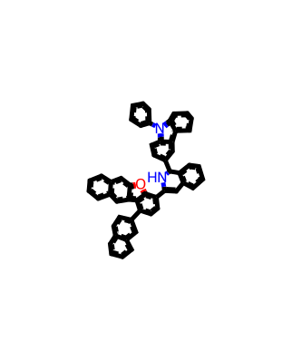 C1=C(c2ccc(-c3ccc4ccccc4c3)c3c2oc2cc4ccccc4cc23)NC(c2ccc3c(c2)c2ccccc2n3-c2ccccc2)c2ccccc21